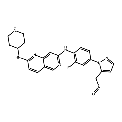 O=NCc1ccnn1-c1ccc(Nc2cc3nc(NC4CCNCC4)ccc3cn2)c(F)c1